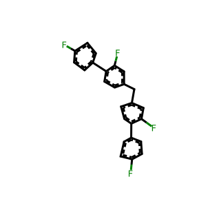 Fc1ccc(-c2ccc(Cc3ccc(-c4ccc(F)cc4)c(F)c3)cc2F)cc1